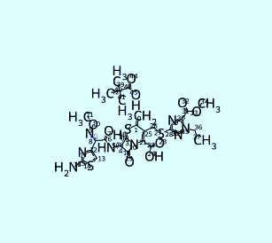 C=C1S[C@@H]2[C@H](NC(=O)/C(=N\OC)c3csc(N)n3)C(=O)N2C(C(=O)O)=C1CSc1nc(C(=O)OC)n(CC)n1.CC(C)(C)C(=O)O